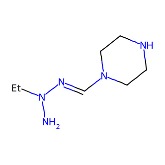 CCN(N)N=CN1CCNCC1